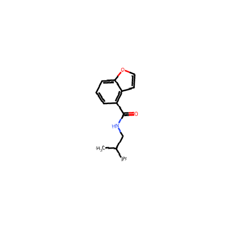 [CH2]C(CNC(=O)c1cccc2occc12)C(C)C